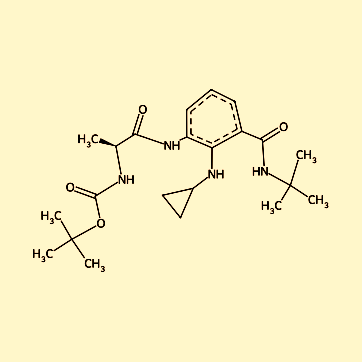 C[C@H](NC(=O)OC(C)(C)C)C(=O)Nc1cccc(C(=O)NC(C)(C)C)c1NC1CC1